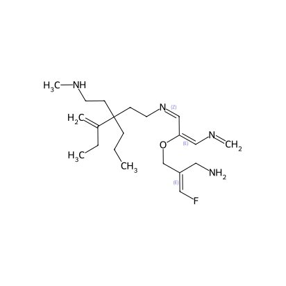 C=N/C=C(\C=N/CCC(CCC)(CCNC)C(=C)CC)OC/C(=C/F)CN